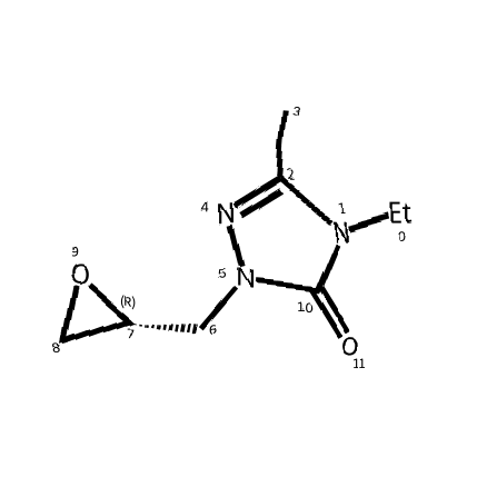 CCn1c(C)nn(C[C@@H]2CO2)c1=O